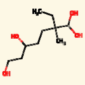 CCC(C)(CCC(O)CCO)C(O)O